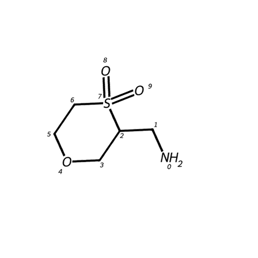 NCC1COCCS1(=O)=O